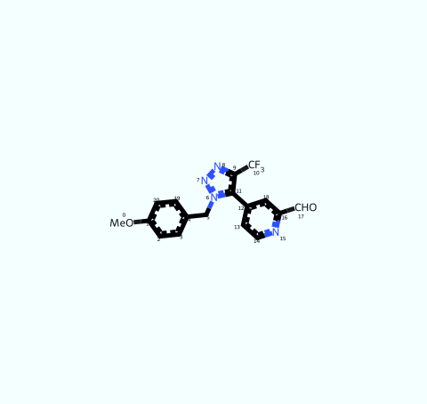 COc1ccc(Cn2nnc(C(F)(F)F)c2-c2ccnc(C=O)c2)cc1